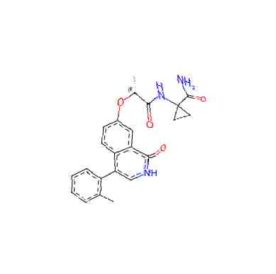 Cc1ccccc1-c1c[nH]c(=O)c2cc(O[C@H](C)C(=O)NC3(C(N)=O)CC3)ccc12